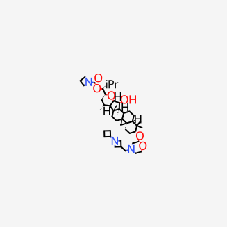 CC(C)[C@@H](OC(=O)N1CCC1)[C@H]1C[C@@H](C)[C@H]2[C@H](O1)[C@H](O)[C@@]1(C)[C@@H]3CC[C@H]4C(C)(C)C(O[C@H]5CN(CC6CN(C7CCC7)C6)CCO5)CC[C@@]45C[C@@]35CC[C@]21C